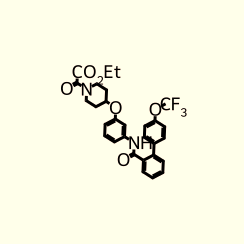 CCOC(=O)C(=O)N1CCC(Oc2cccc(NC(=O)c3ccccc3-c3ccc(OC(F)(F)F)cc3)c2)CC1